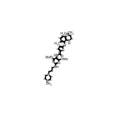 COc1nc(NCCCN2CCN(C)CC2)nc(OC)c1NC(=O)c1ccc(Oc2c(C)ccc3c2NCC[Si]3(C)C)o1